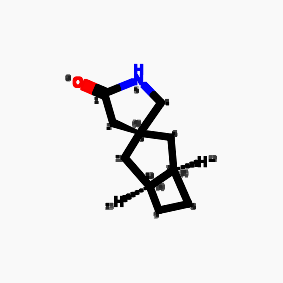 O=C1C[C@@]2(CN1)C[C@H]1CC[C@H]1C2